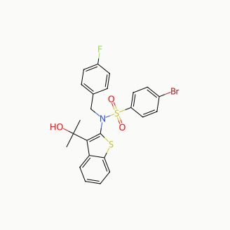 CC(C)(O)c1c(N(Cc2ccc(F)cc2)S(=O)(=O)c2ccc(Br)cc2)sc2ccccc12